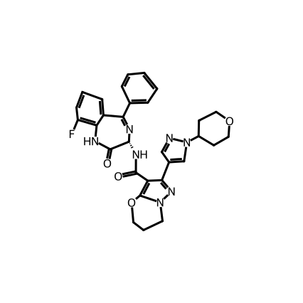 O=C(N[C@H]1N=C(c2ccccc2)c2cccc(F)c2NC1=O)c1c(-c2cnn(C3CCOCC3)c2)nn2c1OCCC2